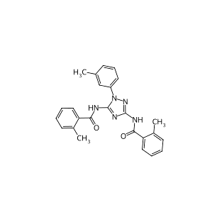 Cc1cccc(-n2nc(NC(=O)c3ccccc3C)nc2NC(=O)c2ccccc2C)c1